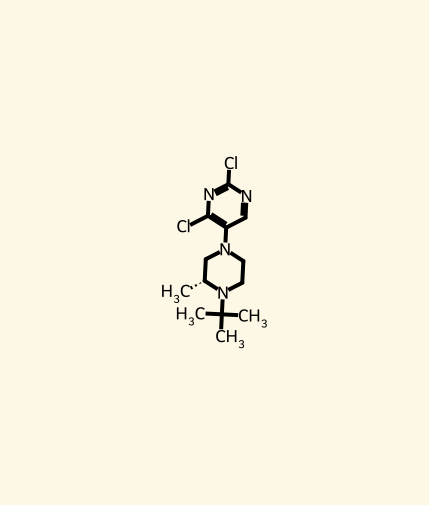 C[C@@H]1CN(c2cnc(Cl)nc2Cl)CCN1C(C)(C)C